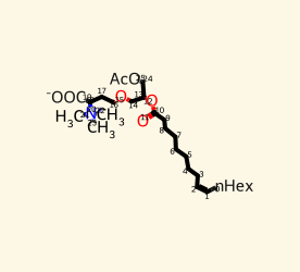 CCCCCC/C=C\CCCCCCCC(=O)OC(COCCC(C(=O)[O-])[N+](C)(C)C)COC(C)=O